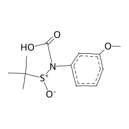 COc1cccc(N(C(=O)O)[S+]([O-])C(C)(C)C)c1